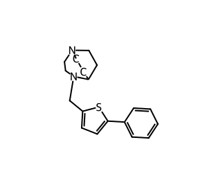 c1ccc(-c2ccc(CN3CCN4CCC3CC4)s2)cc1